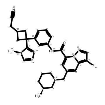 C[C@H]1CCCN(Cc2cc(C(=O)Nc3cccc(C4(c5nncn5C)CC(CC#N)C4)c3)n3ncc(F)c3c2)C1